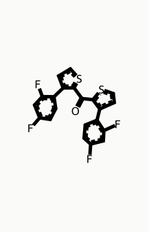 O=C(c1sccc1-c1ccc(F)cc1F)c1sccc1-c1ccc(F)cc1F